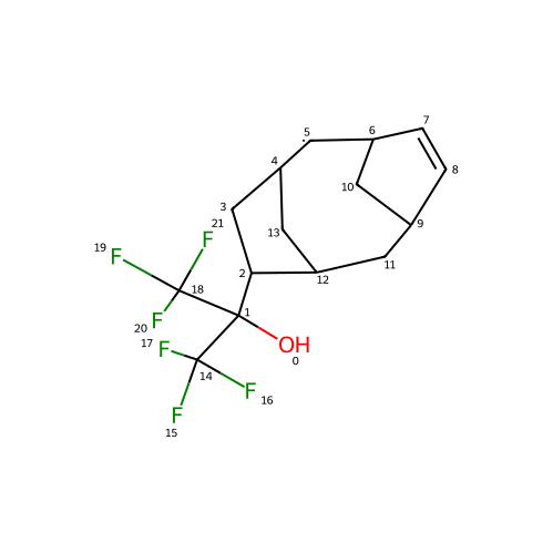 OC(C1CC2[CH]C3C=CC(C3)CC1C2)(C(F)(F)F)C(F)(F)F